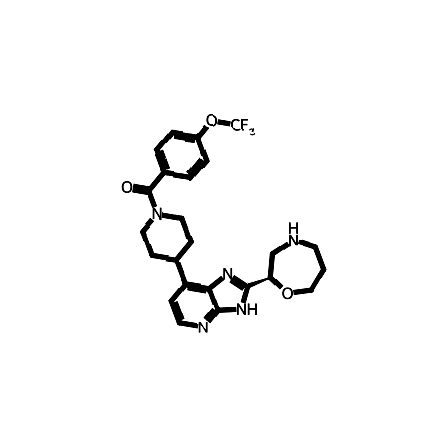 O=C(c1ccc(OC(F)(F)F)cc1)N1CCC(c2ccnc3[nH]c([C@H]4CNCCCO4)nc23)CC1